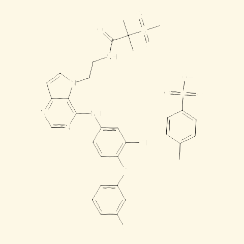 CC(C)(C(=O)NCCn1ccc2ncnc(Nc3ccc(Oc4cccc(Cl)c4)c(Cl)c3)c21)S(C)(=O)=O.Cc1ccc(S(=O)(=O)O)cc1